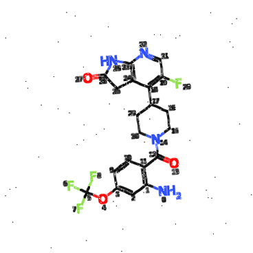 Nc1cc(OC(F)(F)F)ccc1C(=O)N1CCC(c2c(F)cnc3c2CC(=O)N3)CC1